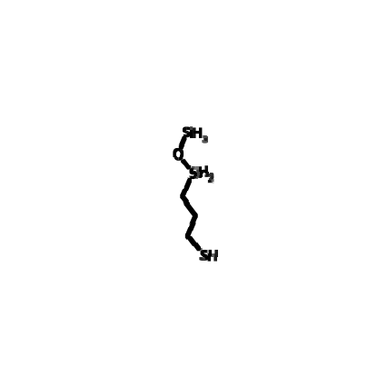 [SiH3]O[SiH2]CCCS